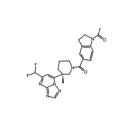 CC(=O)N1CCc2cc(C(=O)N3CCC[C@@](C)(c4cc(C(F)F)nc5ncnn45)C3)ccc21